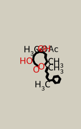 CC(=O)O[C@@H]1/C=C/[C@H](C)[C@@H](/C(C)=C/C=C/C(C)c2ccccc2)OC(=O)C[C@@H](O)CC[C@]1(C)O